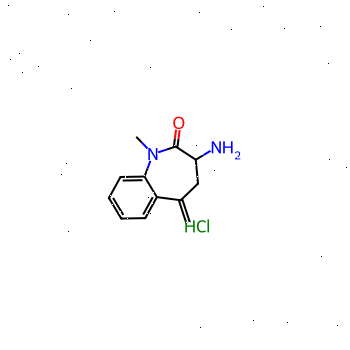 C=C1CC(N)C(=O)N(C)c2ccccc21.Cl